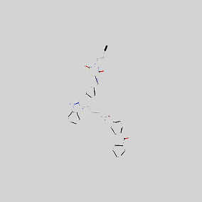 C#CCCN1C(=O)S/C(=C\c2ccc(Sc3nc4ccccc4n3CCCNC(=O)c3ccc(C(=O)c4ccccc4)cc3)o2)C1=O